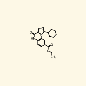 CCOC(=O)c1ccc2[nH]c(=O)c3cnc(C4CCCCC4)n3c2c1